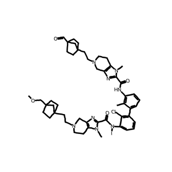 COCC12CCC(CCN3CCc4c(nc(C(=O)N(I)c5cccc(-c6cccc(NC(=O)c7nc8c(n7C)CCN(CCC79CCC(C=O)(CC7)C9)C8)c6C)c5Cl)n4C)C3)(CC1)C2